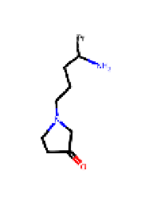 CC(C)C(N)CCCN1CCC(=O)C1